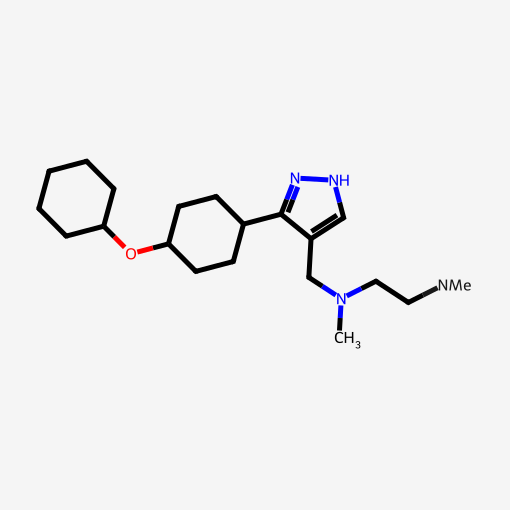 CNCCN(C)Cc1c[nH]nc1C1CCC(OC2CCCCC2)CC1